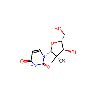 C[C@]1(C#N)[C@H](O)[C@@H](CO)O[C@H]1n1ccc(=O)[nH]c1=O